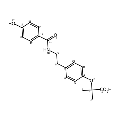 CC(C)(Oc1ccc(CCNC(=O)c2ccc(O)cc2)cc1)C(=O)O